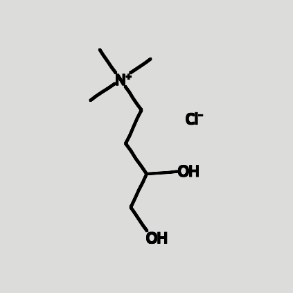 C[N+](C)(C)CCC(O)CO.[Cl-]